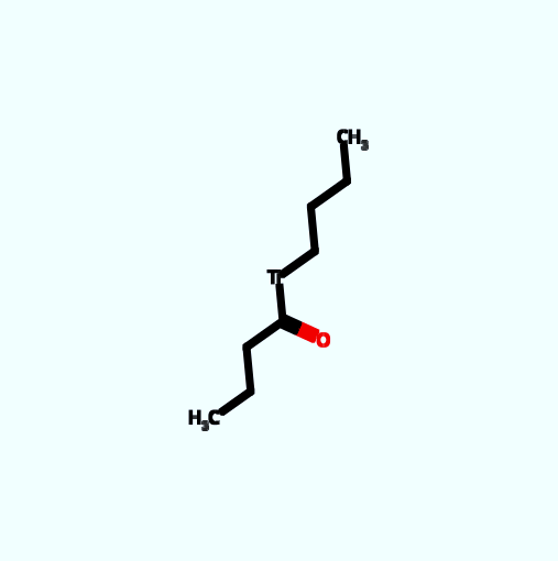 CCC[CH2][Ti][C](=O)CCC